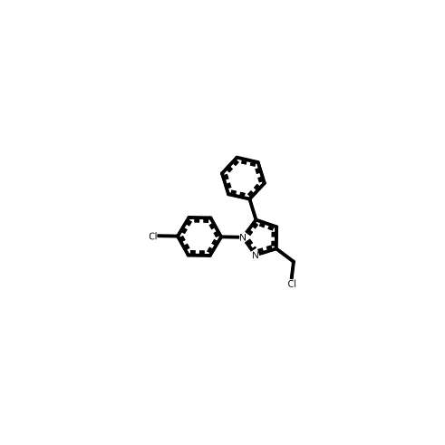 ClCc1cc(-c2ccccc2)n(-c2ccc(Cl)cc2)n1